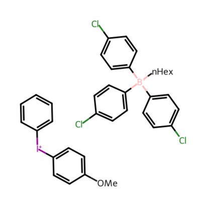 CCCCCC[B-](c1ccc(Cl)cc1)(c1ccc(Cl)cc1)c1ccc(Cl)cc1.COc1ccc([I+]c2ccccc2)cc1